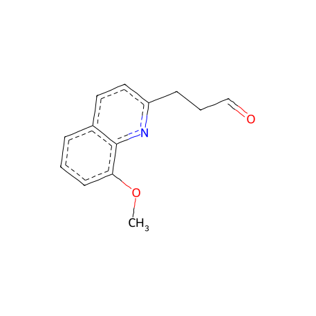 COc1cccc2ccc(CCC=O)nc12